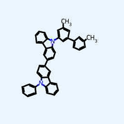 Cc1cccc(-c2cc(C)cc(-n3c4ccccc4c4cc(-c5ccc6c(c5)c5ccccc5n6-c5ccccc5)ccc43)c2)c1